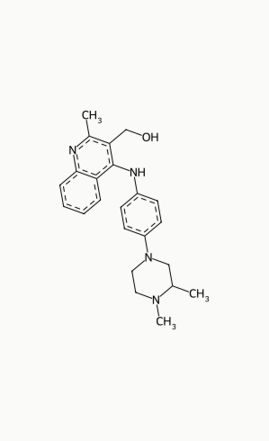 Cc1nc2ccccc2c(Nc2ccc(N3CCN(C)C(C)C3)cc2)c1CO